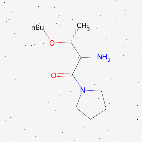 CCCCO[C@H](C)C(N)C(=O)N1CCCC1